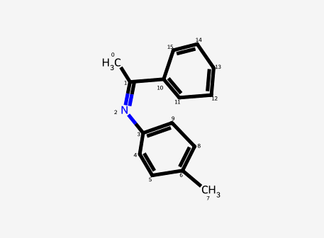 CC(=Nc1ccc(C)cc1)c1ccccc1